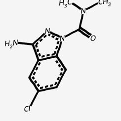 CN(C)C(=O)n1nc(N)c2cc(Cl)ccc21